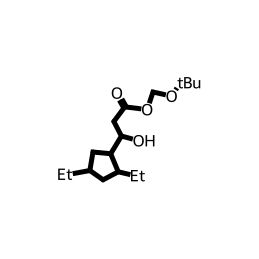 CCC1CC(CC)C(C(O)CC(=O)OCOC(C)(C)C)C1